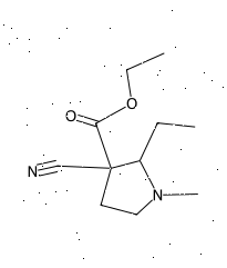 CCOC(=O)C1(C#N)CCN(C)C1CC